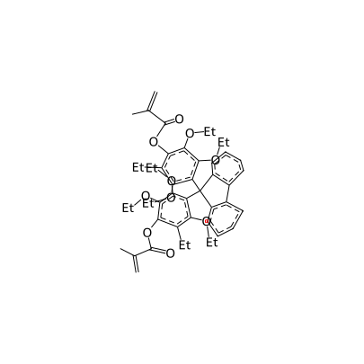 C=C(C)C(=O)Oc1c(CC)c(OCC)c(C2(c3c(OCC)c(CC)c(OC(=O)C(=C)C)c(OCC)c3OCC)c3ccccc3-c3ccccc32)c(OCC)c1OCC